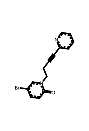 O=c1ccc(Br)cn1CCC#Cc1ccccn1